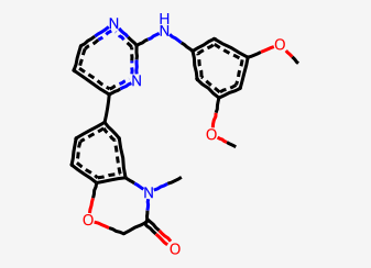 COc1cc(Nc2nccc(-c3ccc4c(c3)N(C)C(=O)CO4)n2)cc(OC)c1